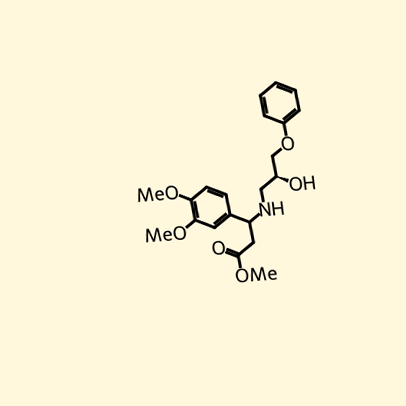 COC(=O)CC(NC[C@H](O)COc1ccccc1)c1ccc(OC)c(OC)c1